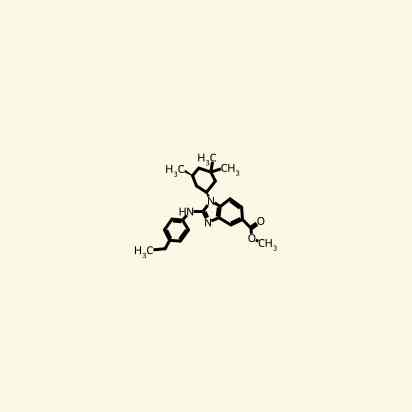 CCc1ccc(Nc2nc3cc(C(=O)OC)ccc3n2[C@H]2C[C@@H](C)CC(C)(C)C2)cc1